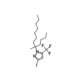 CCCCCCCC(C)(CCCC)n1nc(I)cc1C(F)(F)F